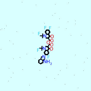 CC(C)(CF)n1cc(C(=O)OC(=O)c2cn(C(C)(C)CF)c3cc(N4CC5C=CC=CC5(N)C4)c(F)cc3c2=O)c(=O)c2cc(F)c(F)cc21